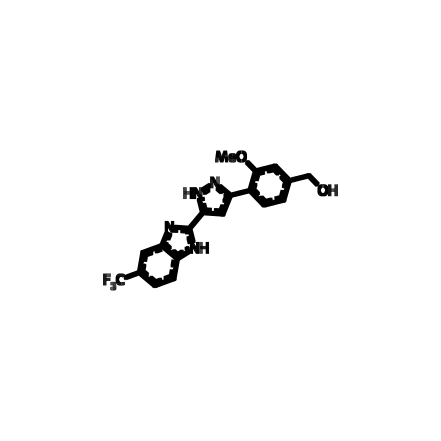 COc1cc(CO)ccc1-c1cc(-c2nc3cc(C(F)(F)F)ccc3[nH]2)[nH]n1